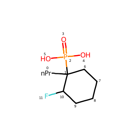 CCCC1(P(=O)(O)O)CCCCC1F